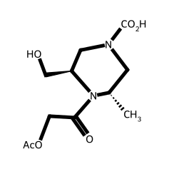 CC(=O)OCC(=O)N1[C@@H](CO)CN(C(=O)O)C[C@@H]1C